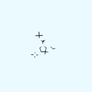 CC(C)(C)OC(=O)N1C[C@@H](NS(C)(=O)=O)C(F)(F)[C@H]1CCO